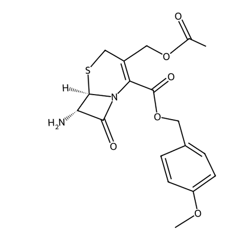 COc1ccc(COC(=O)C2=C(COC(C)=O)CS[C@@H]3[C@@H](N)C(=O)N23)cc1